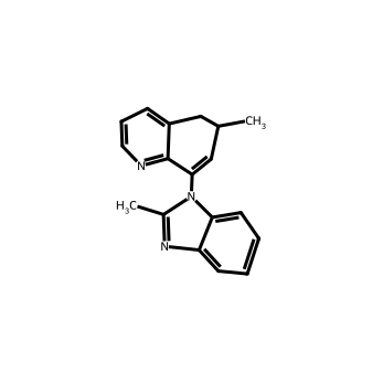 Cc1nc2ccccc2n1C1=CC(C)Cc2cccnc21